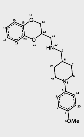 COc1ccc(N2CCC(CNCC3COc4ccccc4O3)CC2)cc1